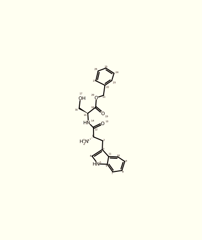 N[C@@H](Cc1c[nH]c2ccccc12)C(=O)N[C@@H](CO)C(=O)OCc1ccccc1